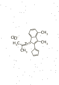 C[C](C)=[Zr+2][CH]1C(C2=CC=CC2)=C(C)c2c(C)cccc21.[Cl-].[Cl-]